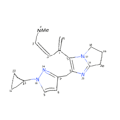 C=C(/C=C\NC)c1c(-c2ccn(C3CC3)n2)nc2n1CCC2